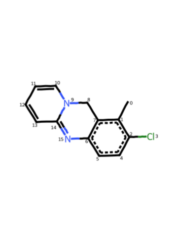 Cc1c(Cl)ccc2c1CN1C=CC=CC1=N2